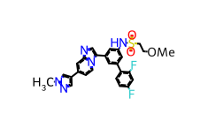 COCCS(=O)(=O)Nc1cc(-c2ccc(F)cc2F)cc(-c2cnc3cc(-c4cnn(C)c4)ccn23)c1